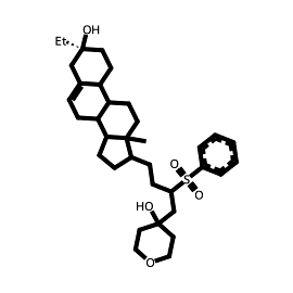 CC[C@]1(O)CCC2C(=CCC3C2CCC2(C)C(CCC(CC4(O)CCOCC4)S(=O)(=O)c4ccccc4)CCC32)C1